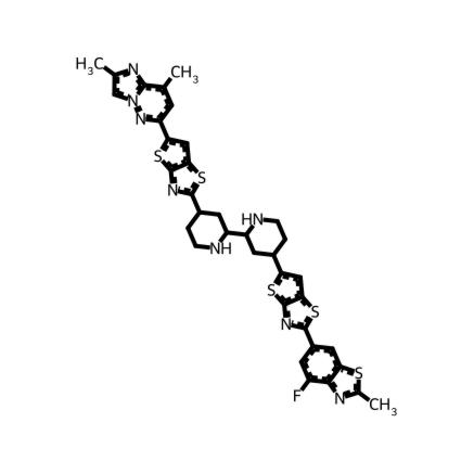 Cc1cn2nc(-c3cc4sc(C5CCNC(C6CC(c7cc8sc(-c9cc(F)c%10nc(C)sc%10c9)nc8s7)CCN6)C5)nc4s3)cc(C)c2n1